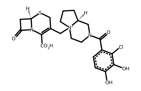 O=C(O)C1=C(C[N+]23CCC[C@H]2CN(C(=O)c2ccc(O)c(O)c2Cl)CC3)CS[C@@H]2CC(=O)N12